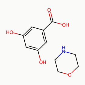 C1COCCN1.O=C(O)c1cc(O)cc(O)c1